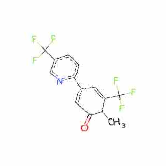 CC1C(=O)C=C(c2ccc(C(F)(F)F)cn2)C=C1C(F)(F)F